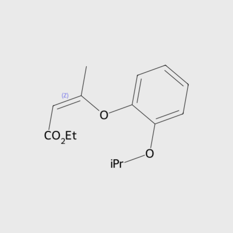 CCOC(=O)/C=C(/C)Oc1ccccc1OC(C)C